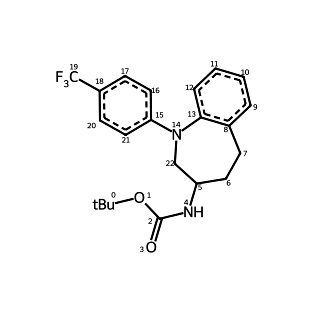 CC(C)(C)OC(=O)NC1CCc2ccccc2N(c2ccc(C(F)(F)F)cc2)C1